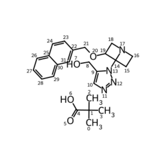 CC(C)(C)C(=O)O.OCc1cnnn1C12CCN1CC2OCc1ccc2ccccc2c1